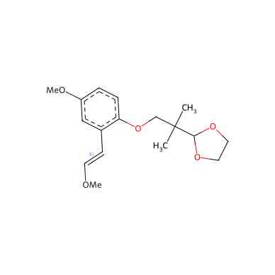 CO/C=C/c1cc(OC)ccc1OCC(C)(C)C1OCCO1